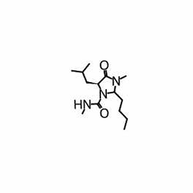 CCCCC1N(C)C(=O)[C@H](CC(C)C)N1C(=O)NC